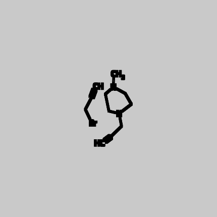 C#CCBr.C#CCN1CCN(C)CC1